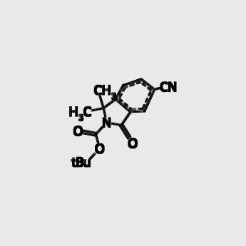 CC(C)(C)OC(=O)N1C(=O)c2cc(C#N)ccc2C1(C)C